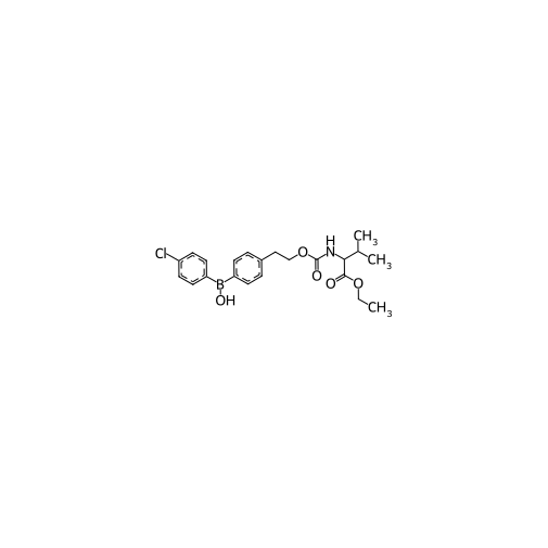 CCOC(=O)C(NC(=O)OCCc1ccc(B(O)c2ccc(Cl)cc2)cc1)C(C)C